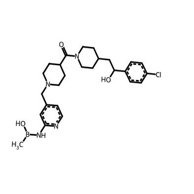 CB(O)Nc1cc(CN2CCC(C(=O)N3CCC(CC(O)c4ccc(Cl)cc4)CC3)CC2)ccn1